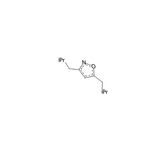 CC(C)Cc1cc(CC(C)C)on1